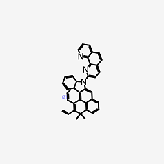 C=CC1=C(/C=C\C)c2c3c(cc4cccc(c24)C1(C)C)N(c1ccc2ccc4cccnc4c2n1)C1C=CC=CC31